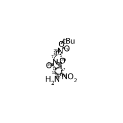 CC(C)(C)OC(=O)N1CC(CN2C(=O)c3cc(N)c([N+](=O)[O-])cc3C2=O)C1